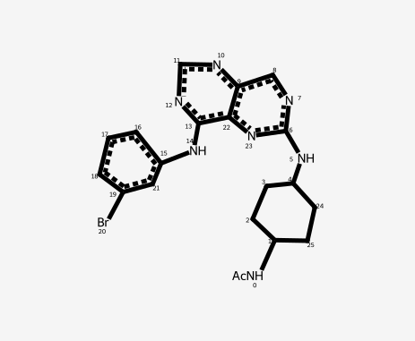 CC(=O)NC1CCC(Nc2ncc3ncnc(Nc4cccc(Br)c4)c3n2)CC1